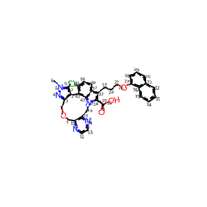 Cc1c2c(nn1C)COCc1nccnc1Cn1c(C(=O)O)c(CCCOc3cccc4ccccc34)c3ccc(Cl)c-2c31